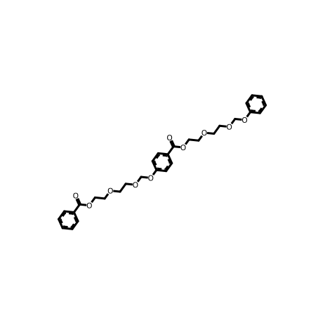 O=C(OCCOCCOCOc1ccc(C(=O)OCCOCCOCOc2ccccc2)cc1)c1ccccc1